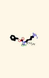 Cl.NCCCC[C@@H](NC(=O)OCc1ccccc1)C(=O)O